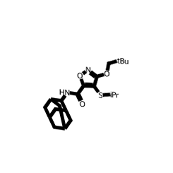 CC(C)Sc1c(OCC(C)(C)C)noc1C(=O)NC1C2CC3CC(C2)CC1C3